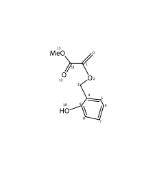 C=C(OCc1ccccc1O)C(=O)OC